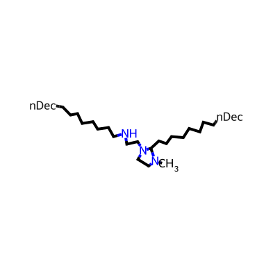 CCCCCCCCCCCCCCCCCCNCCN1CCN(C)C1CCCCCCCCCCCCCCCCCC